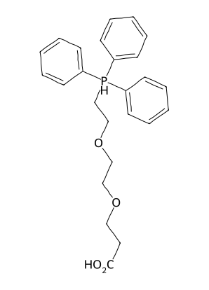 O=C(O)CCOCCOCC[PH](c1ccccc1)(c1ccccc1)c1ccccc1